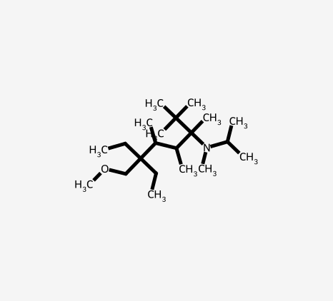 CCC(CC)(COC)C(C)C(C)C(C)(N(C)C(C)C)C(C)(C)C